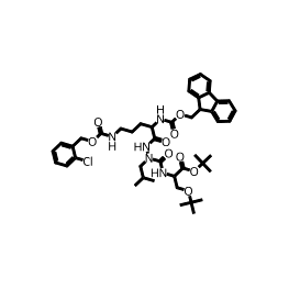 CC(C)CN(NC(=O)C(CCCNC(=O)OCc1ccccc1Cl)NC(=O)OCC1c2ccccc2-c2ccccc21)C(=O)NC(COC(C)(C)C)C(=O)OC(C)(C)C